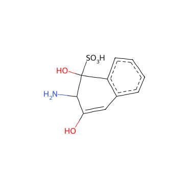 NC1C(O)=Cc2ccccc2C1(O)S(=O)(=O)O